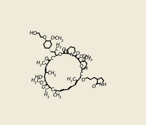 CO[C@@H]1C[C@H](C[C@@H](C)[C@@H]2CC(=O)[C@H](C)/C=C(\C)[C@@H](O)[C@@H](OC)C(=O)[C@H](C)C[C@H](C)/C=C/C=C/C=C(\C)[C@@H](OCCCC3CCNC3=O)C[C@@H]3CC[C@@H](C)[C@@](OC)(O3)C(=O)C(=O)N3CCCC[C@H]3C(=O)O2)CC[C@H]1OCCO